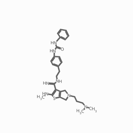 CNc1sc2c(c1C(=N)NCCc1ccc(NC(=O)Nc3ccccc3)cc1)CN(CCCN(C)C)C2